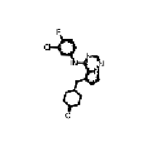 O=C1CCC(Cc2ccn3ncnc(Nc4ccc(F)c(Cl)c4)c23)CC1